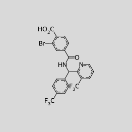 O=C(NC(c1ccc(C(F)(F)F)cc1)c1ncccc1C(F)(F)F)c1ccc(C(=O)O)c(Br)c1